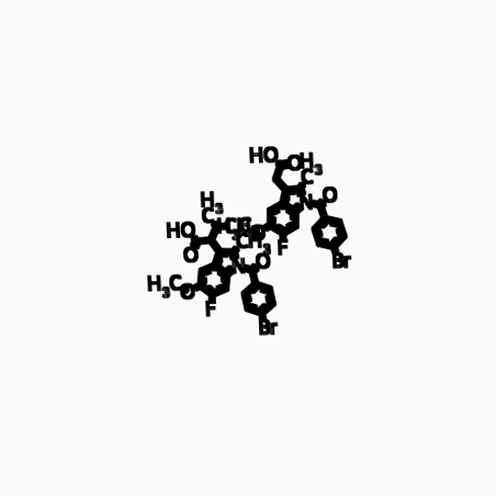 COc1cc2c(C(C(=O)O)C(C)C)c(C)n(C(=O)c3ccc(Br)cc3)c2cc1F.COc1cc2c(CC(=O)O)c(C)n(C(=O)c3ccc(Br)cc3)c2cc1F